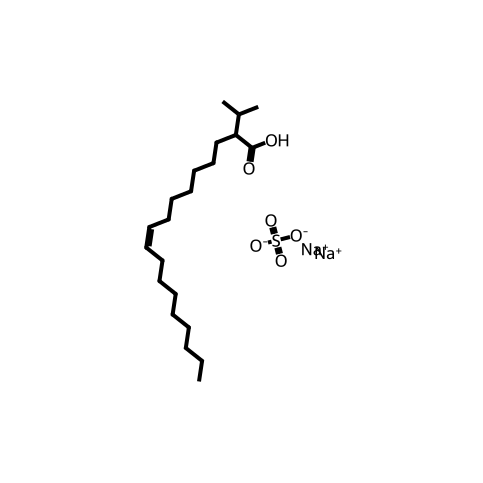 CCCCCCCC/C=C\CCCCCCC(C(=O)O)C(C)C.O=S(=O)([O-])[O-].[Na+].[Na+]